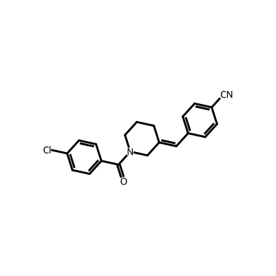 N#Cc1ccc(C=C2CCCN(C(=O)c3ccc(Cl)cc3)C2)cc1